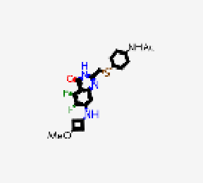 CO[C@H]1C[C@@H](Nc2cc3nc(CS[C@H]4CC[C@H](NC(C)=O)CC4)[nH]c(=O)c3c(F)c2F)C1